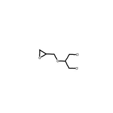 ClCC(CCl)OCC1CO1